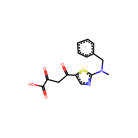 CN(Cc1ccccc1)c1ncc(C(=O)CC(=O)C(=O)O)s1